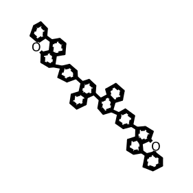 c1ccc2c(c1)Oc1ccc(-c3ccc(-c4ccc(-c5ccc(-c6ccc(-c7ccc8c9c(cccc79)-c7ccccc7O8)cc6)c6ccccc56)c5ccccc45)cc3)c3cccc-2c13